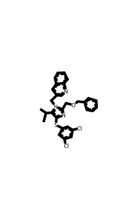 CC(C)c1c(Sc2cc(Cl)cc(Cl)c2)nc(COCc2ccccc2)n1Cc1cnc2ccccc2c1